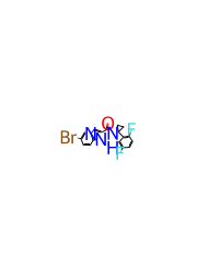 O=C(NC1(c2cc(F)ccc2F)CC1)c1cn2cc(Br)ccc2n1